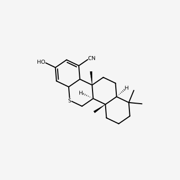 CC1(C)CCC[C@]2(C)[C@H]3CSC4C=C(O)C=C(C#N)C4[C@]3(C)CC[C@@H]12